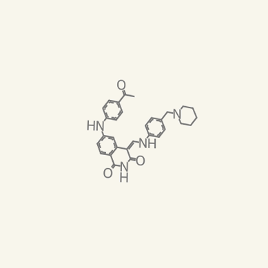 CC(=O)c1ccc(Nc2ccc3c(c2)C(=CNc2ccc(CN4CCCCC4)cc2)C(=O)NC3=O)cc1